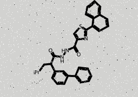 CC(C)CC(C(=O)NNC(=O)c1csc(-c2cccc3ccccc23)n1)c1cccc(-c2ccccc2)c1